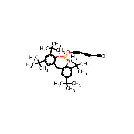 C#CC#CC#COP1Oc2c(cc(C(C)(C)C)cc2C(C)(C)C)Cc2cc(C(C)(C)C)cc(C(C)(C)C)c2O1